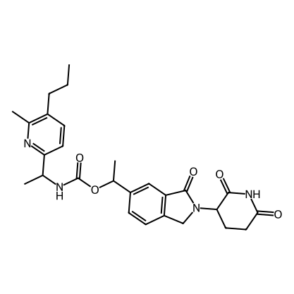 CCCc1ccc(C(C)NC(=O)OC(C)c2ccc3c(c2)C(=O)N(C2CCC(=O)NC2=O)C3)nc1C